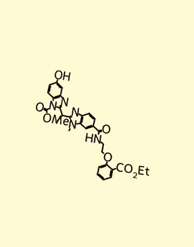 CCOC(=O)c1ccccc1OCCNC(=O)c1ccc2nc(C(C)c3nc4cc(O)ccc4n3C(=O)OC)n(C)c2c1